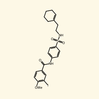 COc1ccc(C(=O)Nc2ccc(S(=O)(=O)NCCC3=CCCCC3)cc2)cc1I